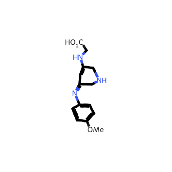 COc1ccc(/N=C2/C=C(NCC(=O)O)CNC2)cc1